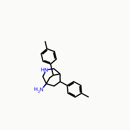 Cc1ccc(C2CC3(N)CNCC2C(c2ccc(C)cc2)C3)cc1